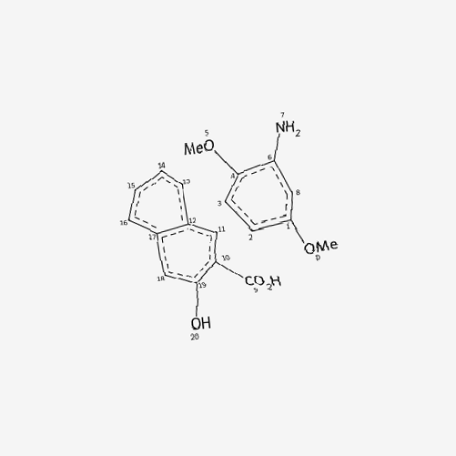 COc1ccc(OC)c(N)c1.O=C(O)c1cc2ccccc2cc1O